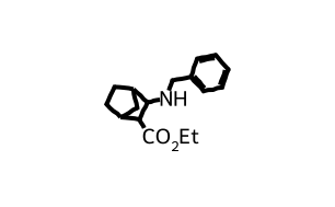 CCOC(=O)C1C2CCC(C2)C1NCc1ccccc1